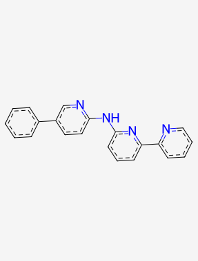 c1ccc(-c2ccc(Nc3cccc(-c4ccccn4)n3)nc2)cc1